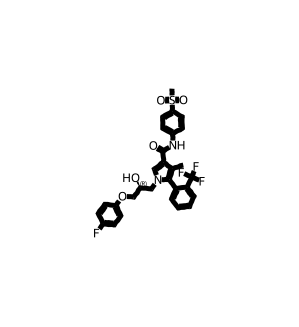 Cc1c(C(=O)Nc2ccc(S(C)(=O)=O)cc2)cn(C[C@@H](O)COc2ccc(F)cc2)c1-c1ccccc1C(F)(F)F